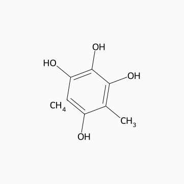 C.Cc1c(O)cc(O)c(O)c1O